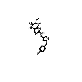 CC[C@H]1C(=O)Nc2cnc(NCc3cnn(Cc4ccc(F)cc4)c3)nc2N1C